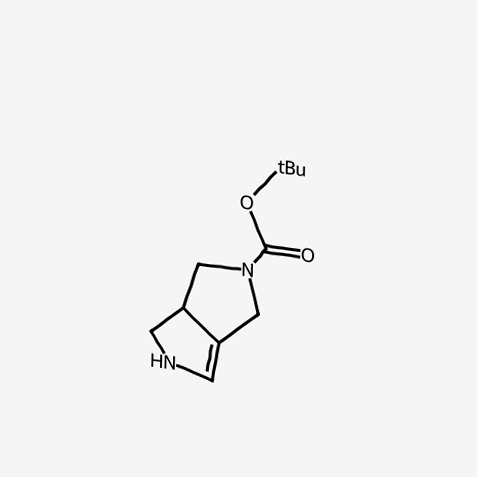 CC(C)(C)OC(=O)N1CC2=CNCC2C1